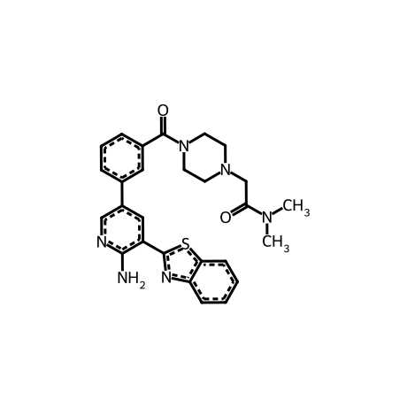 CN(C)C(=O)CN1CCN(C(=O)c2cccc(-c3cnc(N)c(-c4nc5ccccc5s4)c3)c2)CC1